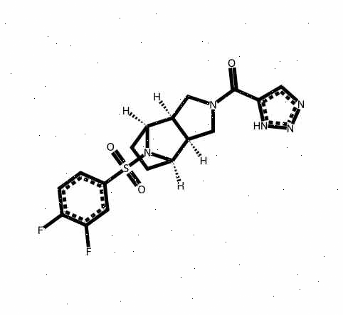 O=C(c1cnn[nH]1)N1C[C@@H]2[C@H](C1)[C@@H]1CC[C@H]2N1S(=O)(=O)c1ccc(F)c(F)c1